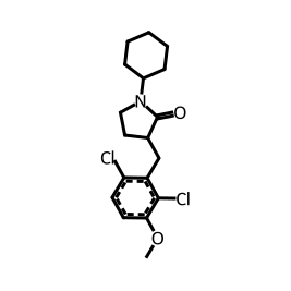 COc1ccc(Cl)c(CC2CCN(C3CCCCC3)C2=O)c1Cl